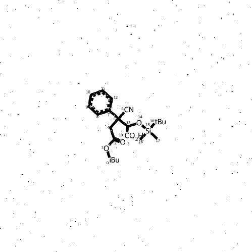 CCC(C)OC(=O)CC(C#N)(c1ccccc1)C(O[Si](C)(C)C(C)(C)C)C(=O)O